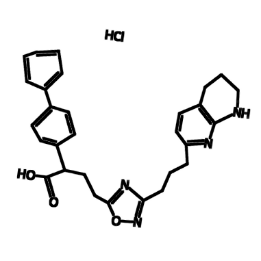 Cl.O=C(O)C(CCc1nc(CCCc2ccc3c(n2)NCCC3)no1)c1ccc(-c2ccccc2)cc1